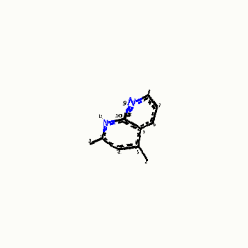 Cc1cc(C)c2cccnc2n1